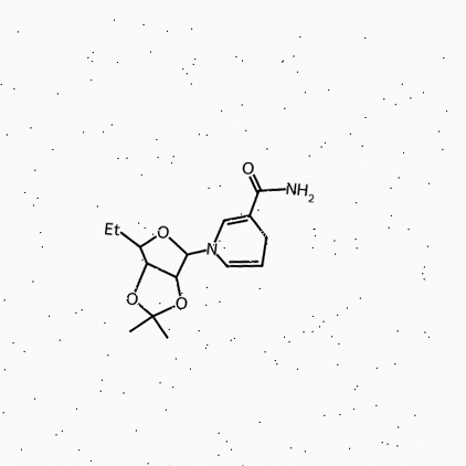 [CH2]CC1OC(N2C=CCC(C(N)=O)=C2)C2OC(C)(C)OC12